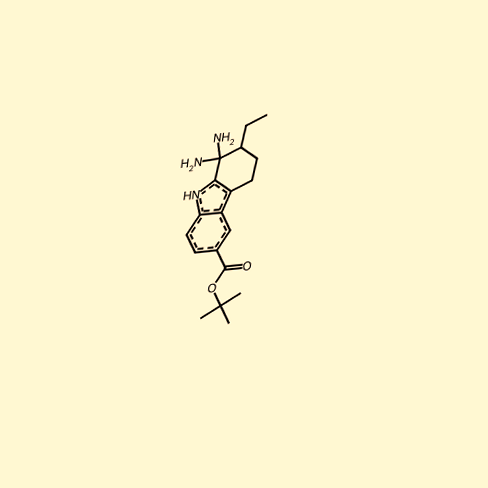 CCC1CCc2c([nH]c3ccc(C(=O)OC(C)(C)C)cc23)C1(N)N